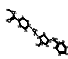 COC(=O)[C@H]1CC[C@H](OC[C@@H]2C[C@H](Sc3ccccc3)CN2C)CC1